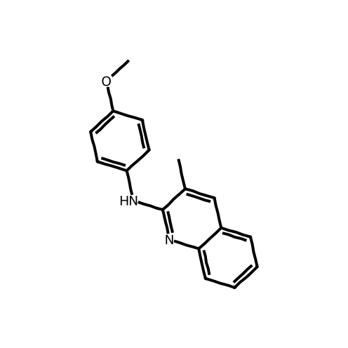 COc1ccc(Nc2nc3ccccc3cc2C)cc1